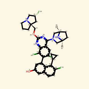 Oc1cc(-c2c(F)cc3c(N4C[C@H]5CC[C@@H](C4)N5)nc(OC[C@@]45CCCN4C[C@H](F)C5)nc3c2F)c2c(C3CC3)c(F)ccc2c1